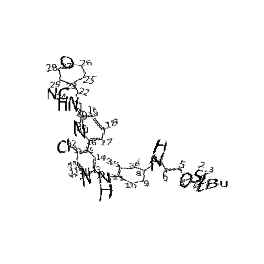 CC(C)(C)[Si](C)(C)OCCNC1CCC(Nc2cc(-c3cccc(NCC4(C#N)CCOCC4)n3)c(Cl)cn2)CC1